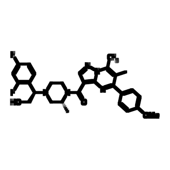 COc1ccc(-c2nc3c(C(=O)N4CCN([C@@H](CO)c5ccc(F)cc5F)C[C@H]4C)cnn3c(C(F)(F)F)c2C)cc1